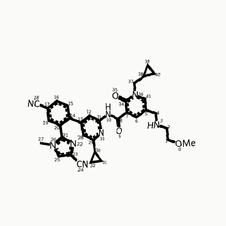 COCCNCc1cc(C(=O)Nc2cc(-c3ccc(C#N)cc3-c3nc(C#N)cn3C)cc(C3CC3)n2)c(=O)n(CC2CC2)c1